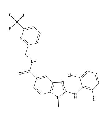 Cn1c(Nc2c(Cl)cccc2Cl)nc2cc(C(=O)NCc3cccc(C(F)(F)F)n3)ccc21